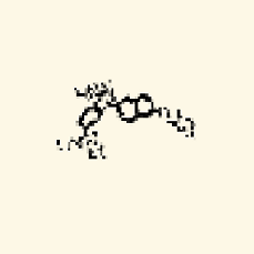 CCOC(=N)c1ccc2[nH]nc(-c3ccc4cc(OCC5CN(C)CCN5C)ccc4c3)c2c1